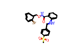 CS(=O)(=O)c1ccc(CNc2ccccc2C(=O)NOCc2ccccc2Br)cc1